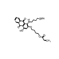 C=CC(=O)OCCCCOc1cc(O)c2c(c1NCCCCOC)C(=O)c1ccccc1C2=O